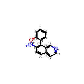 c1ccc2c(c1)ONc1ccc3ccncc3c1-2